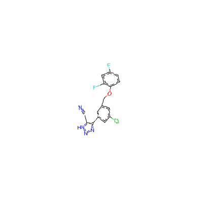 N#Cc1[nH]nnc1-c1cc(Cl)cc(COc2ccc(F)cc2F)c1